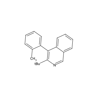 Cc1ccccc1-c1c(C(C)(C)C)ncc2ccccc12